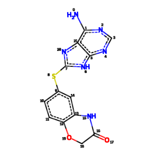 Nc1ncnc2[nH]c(Sc3ccc4c(c3)NC(=O)CO4)nc12